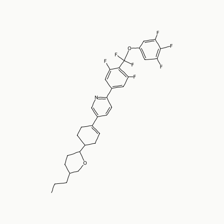 CCCC1CCC(C2CC=C(c3ccc(-c4cc(F)c(C(F)(F)Oc5cc(F)c(F)c(F)c5)c(F)c4)nc3)CC2)OC1